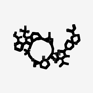 C=CC(=O)N1CCOC2(CCN(C(=O)N(C)[C@H](C(=O)N[C@H]3Cc4nc(n(C)n4)-c4ccc5c(c4)c(c(-c4cccnc4[C@H](C)OC)n5CC(F)(F)F)CC(C)(C)COC(=O)[C@@]4(O)CCCN(N4)C3=O)C(C)C)CC2)C1